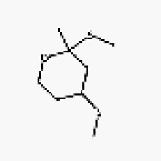 CSC1CCOC(C)(SC)C1